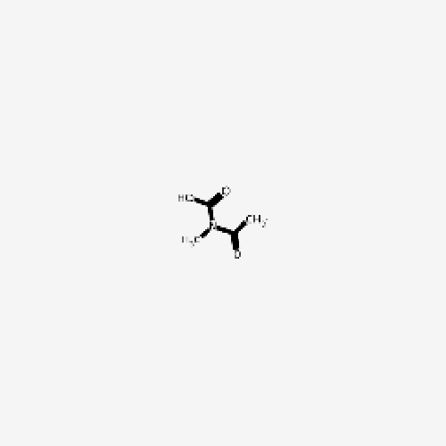 [CH2]C(=O)N(C)C(=O)O